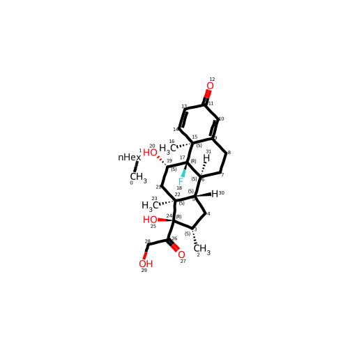 CCCCCCC.C[C@H]1C[C@H]2[C@@H]3CCC4=CC(=O)C=C[C@]4(C)[C@@]3(F)[C@@H](O)C[C@]2(C)[C@@]1(O)C(=O)CO